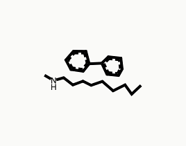 CCCCCCCCCNC.c1ccc(-c2ccccc2)cc1